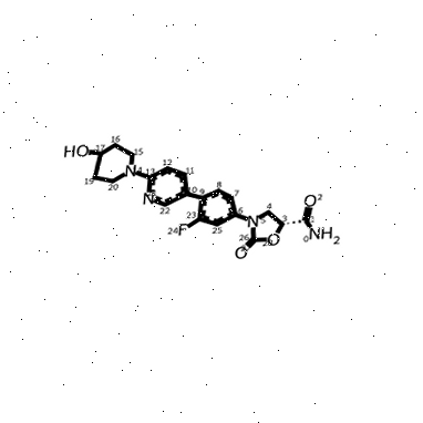 NC(=O)[C@H]1CN(c2ccc(-c3ccc(N4CCC(O)CC4)nc3)c(F)c2)C(=O)O1